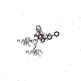 CC(C)(C)OC(=O)N1C2CCC1CC(c1nc3c(-c4ccc(-c5ccccc5)nc4)cnn3c(N(COCC[Si](C)(C)C)COCC[Si](C)(C)C)c1F)C2